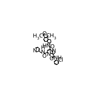 CC(=O)c1ccc2c(c1C)CC[C@@H]2NC(=O)c1cc(C(=O)NCc2cccnc2)nc2c(C(=O)Nc3ccccc3Cl)cnn12